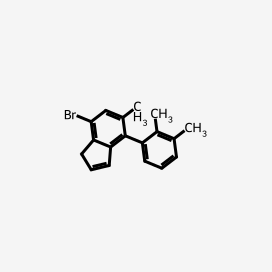 Cc1cccc(-c2c(C)cc(Br)c3c2C=CC3)c1C